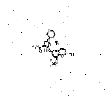 N#C[C@H]1CCOC[C@@H]1n1cc(C(N)=O)c(Nc2cc3c(c(OC(F)(F)F)c2)OB(O)C=C3)n1